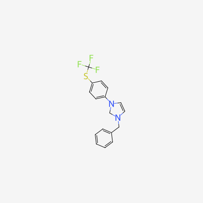 FC(F)(F)Sc1ccc(N2C=CN(Cc3ccccc3)C2)cc1